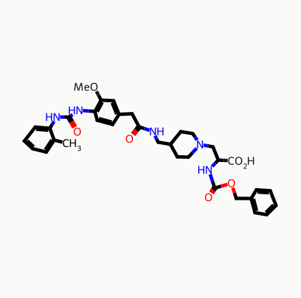 COc1cc(CC(=O)NCC2CCN(CC(NC(=O)OCc3ccccc3)C(=O)O)CC2)ccc1NC(=O)Nc1ccccc1C